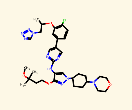 COC(C)(C)CCOc1nn(C2CCC(N3CCOCC3)CC2)cc1Nc1ncc(-c2ccc(Cl)c(OC(C)Cn3cnnn3)c2)cn1